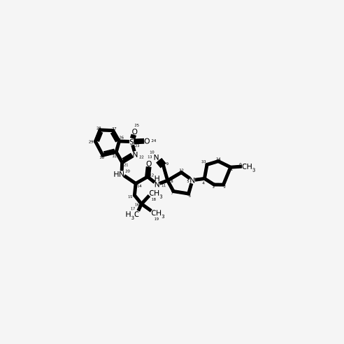 CC1CCC(N2CCC(C#N)(NC(=O)C(CC(C)(C)C)NC3=NS(=O)(=O)c4ccccc43)C2)CC1